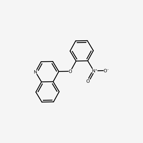 O=[N+]([O-])c1ccccc1Oc1ccnc2ccccc12